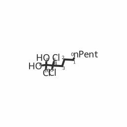 CCCCCCCCC(Cl)(Cl)C(O)(O)Cl